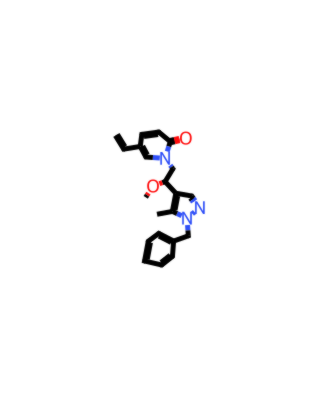 C=Cc1ccc(=O)n(CC(OC)c2cnn(Cc3ccccc3)c2C)c1